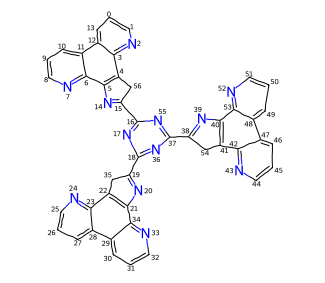 c1cnc2c3c(c4ncccc4c2c1)N=C(c1nc(C2=Nc4c(c5ncccc5c5cccnc45)C2)nc(C2=Nc4c(c5ncccc5c5cccnc45)C2)n1)C3